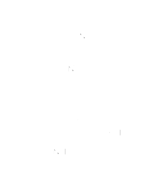 Nc1ccc(-n2ccnc2)cc1C(=O)O